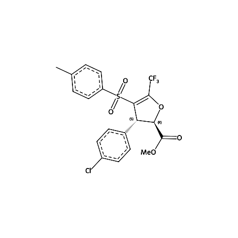 COC(=O)[C@@H]1OC(C(F)(F)F)=C(S(=O)(=O)c2ccc(C)cc2)[C@H]1c1ccc(Cl)cc1